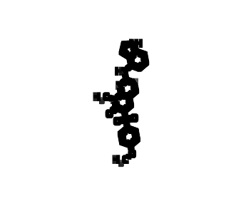 COc1ccc(S(=O)(=O)c2cc3cnc(Nc4cccc5[nH]ccc45)nc3n(C)c2=O)cc1